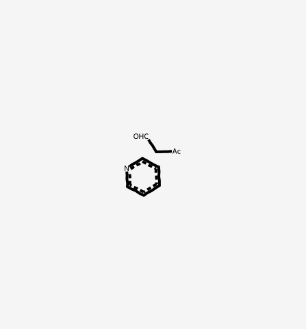 CC(=O)CC=O.c1ccncc1